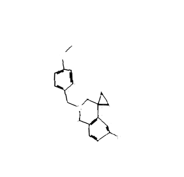 COc1ccc(CN2Cc3ccc(Br)cc3C3(CC3)C2)cc1